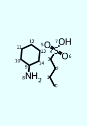 CCCCS(=O)(=O)O.NC1CCCCC1